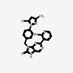 Cc1cc(Cl)n(-c2ccc(Cn3c(=O)[nH]c4cnc(-c5cccnc5C(C)C)nc43)cc2)n1